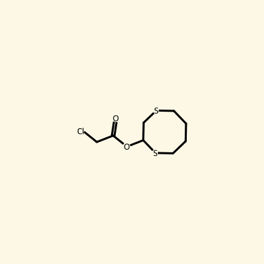 O=C(CCl)OC1CSCCCCS1